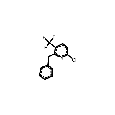 FC(F)(F)c1ccc(Cl)nc1Cc1ccccc1